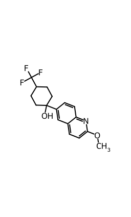 COc1ccc2cc(C3(O)CCC(C(F)(F)F)CC3)ccc2n1